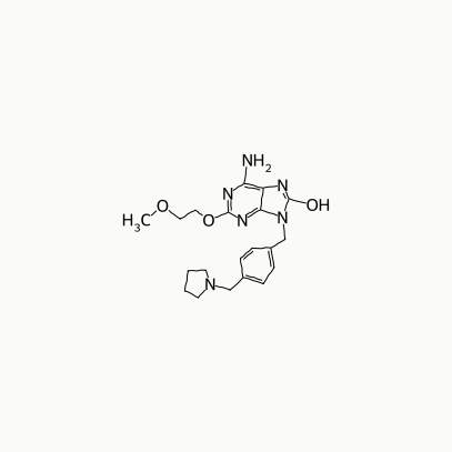 COCCOc1nc(N)c2nc(O)n(Cc3ccc(CN4CCCC4)cc3)c2n1